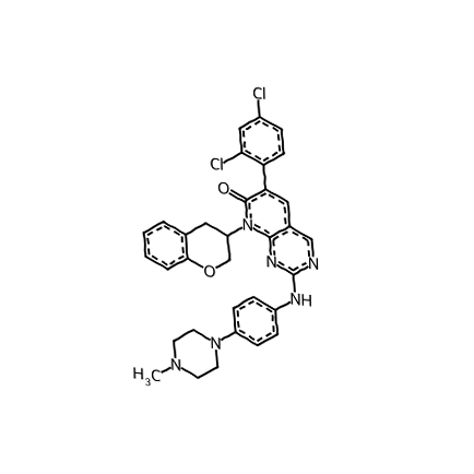 CN1CCN(c2ccc(Nc3ncc4cc(-c5ccc(Cl)cc5Cl)c(=O)n(C5COc6ccccc6C5)c4n3)cc2)CC1